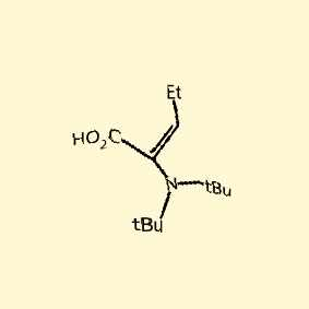 CC/C=C(\C(=O)O)N(C(C)(C)C)C(C)(C)C